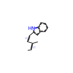 C/C=C(C)\C=C/c1cc2ccccc2[nH]1